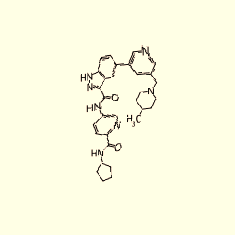 CC1CCN(Cc2cncc(-c3ccc4[nH]nc(C(=O)Nc5ccc(C(=O)NC6CCCC6)nc5)c4c3)c2)CC1